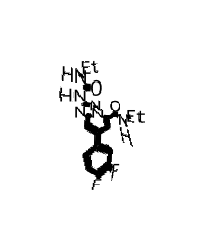 CCNC(=O)Nc1nc2cc(-c3ccc(F)c(F)c3)cc(C(=O)NCC)n2n1